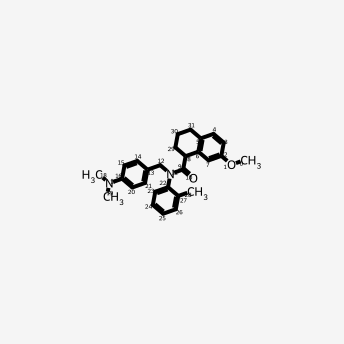 COc1ccc2c(c1)C(C(=O)N(Cc1ccc(N(C)C)cc1)c1ccccc1C)CCC2